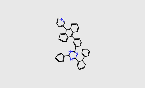 C1=CCC(C2=CCCC=C2)C(c2nc(-c3ccccc3)nc(-c3cccc(-c4c5ccccc5c(-c5cccnc5)c5ccccc45)c3)n2)=C1